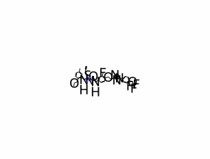 C#CCS/C(=N\C(=O)Nc1ccc(OCc2ncn(-c3ccc(OC(F)(F)F)cc3)n2)c(F)c1)Nc1cc(C)ccc1COC